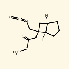 COC(=O)C[C@@]1(CN=C=O)C[C@H]2CCC[C@H]21